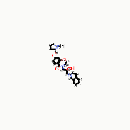 CC(C)N1CCC[C@H]1COc1ccc2c(c1)OCCN(CC(O)CN1CCc3ccccc3C1)C2=O